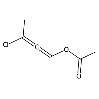 CC(=O)OC=C=C(C)Cl